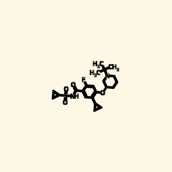 CC(C)(C)N1CCC[C@@H](Oc2cc(F)c(C(=O)NS(=O)(=O)C3CC3)cc2C2CC2)C1